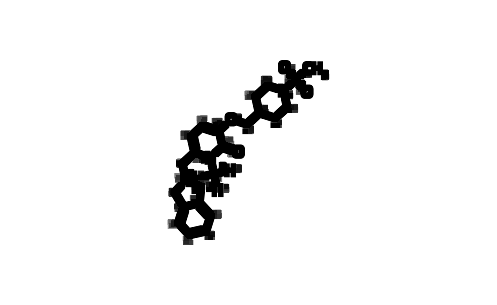 [2H]C([2H])([2H])n1c(CN2Cc3ccccc3C2)ccc(OCC2CCN(S(C)(=O)=O)CC2)c1=O